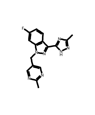 Cc1ncc(Cn2nc(-c3nc(C)n[nH]3)c3ccc(F)cc32)cn1